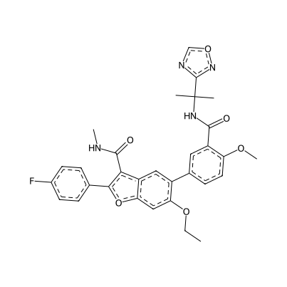 CCOc1cc2oc(-c3ccc(F)cc3)c(C(=O)NC)c2cc1-c1ccc(OC)c(C(=O)NC(C)(C)c2ncon2)c1